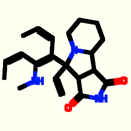 C=CC1(C(/C=C\C)=C(/C=C\C)NC)C2C(=O)NC(=O)C2C2CCCCN21